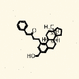 C[C@@]12CCC[C@H]1[C@@H]1CCc3cc(CO)cc(CCC(=O)Cc4ccccc4)c3[C@H]1CC2